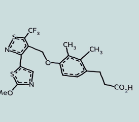 COc1ncc(-c2nsc(C(F)(F)F)c2COc2ccc(CCC(=O)O)c(C)c2C)s1